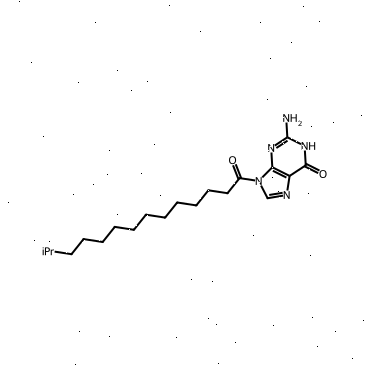 CC(C)CCCCCCCCCCCC(=O)n1cnc2c(=O)[nH]c(N)nc21